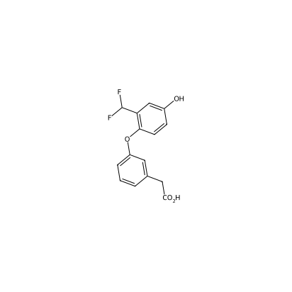 O=C(O)Cc1cccc(Oc2ccc(O)cc2C(F)F)c1